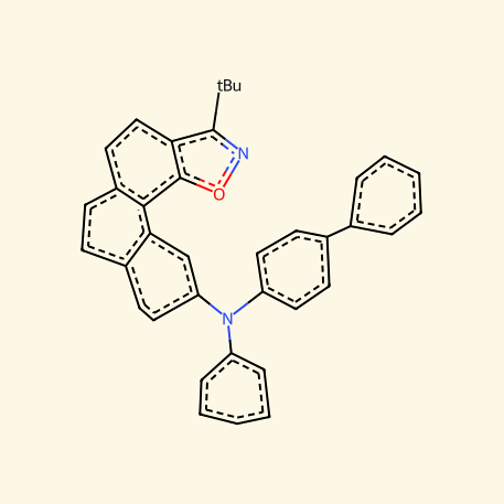 CC(C)(C)c1noc2c1ccc1ccc3ccc(N(c4ccccc4)c4ccc(-c5ccccc5)cc4)cc3c12